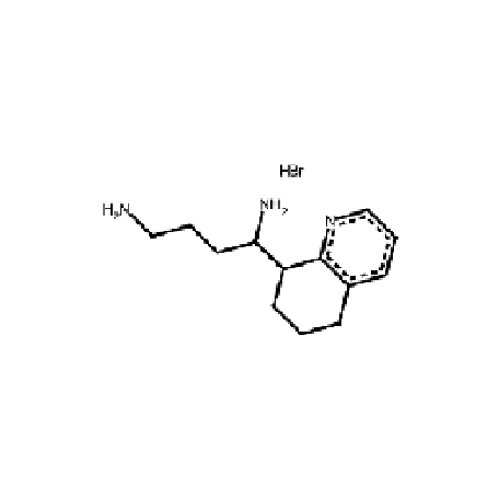 Br.NCCCC(N)C1CCCc2cccnc21